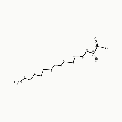 CCCCCCCCCCCCCC[C@@H](Br)C(=O)O